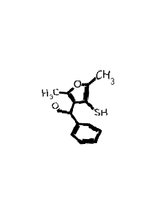 Cc1oc(C)c(C(C=O)c2ccccc2)c1S